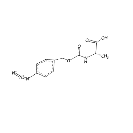 C[C@H](NC(=O)OCc1ccc(N=[N+]=[N-])cc1)C(=O)O